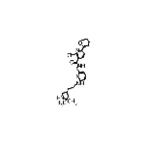 CC1(C)C[C@H](CCCNc2cccc(SNC(=O)c3ccc(C4=CCCCO4)nc3Cl)n2)CN1